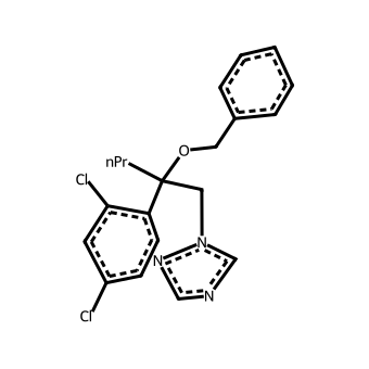 CCCC(Cn1cncn1)(OCc1ccccc1)c1ccc(Cl)cc1Cl